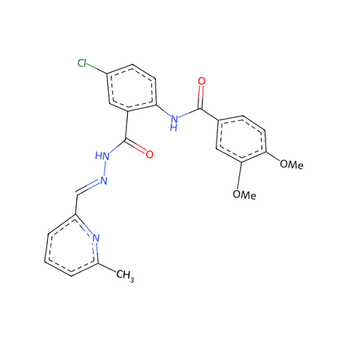 COc1ccc(C(=O)Nc2ccc(Cl)cc2C(=O)NN=Cc2cccc(C)n2)cc1OC